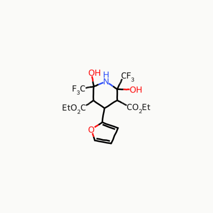 CCOC(=O)C1C(c2ccco2)C(C(=O)OCC)C(O)(C(F)(F)F)NC1(O)C(F)(F)F